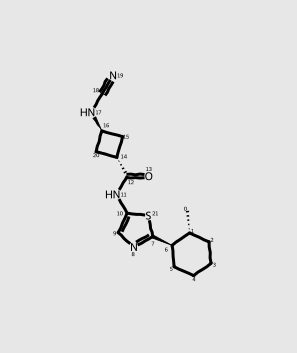 C[C@@H]1CCCC[C@H]1c1ncc(NC(=O)[C@H]2C[C@H](NC#N)C2)s1